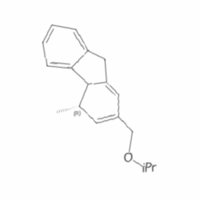 CC(C)OCC1=C[C@H](C)C2C(=C1)Cc1ccccc12